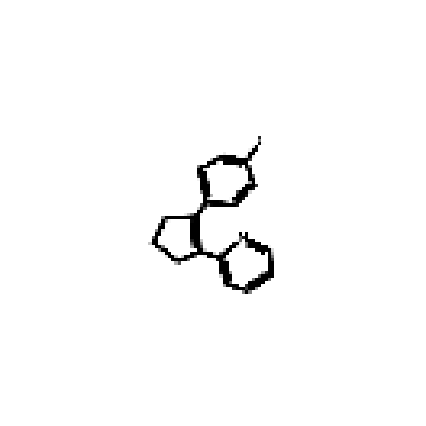 Clc1ccc(C2=C(c3ccccn3)CCC2)cc1